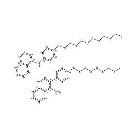 CCCCCCCCCCCCc1ccc(Nc2cccc3ccccc23)cc1.CCCCCCCCCc1ccc(-c2ccc3ccccc3c2N)cc1